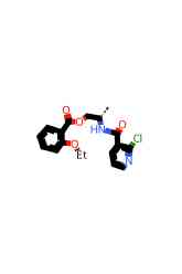 CCOc1ccccc1C(=O)OC[C@H](C)NC(=O)c1cccnc1Cl